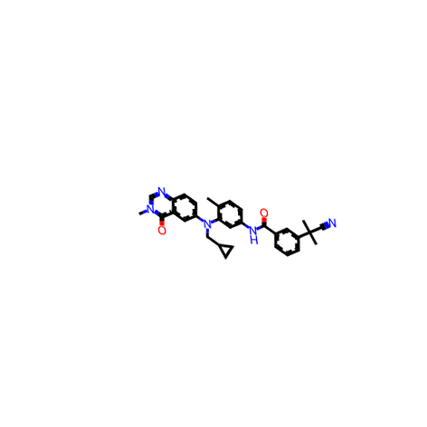 Cc1ccc(NC(=O)c2cccc(C(C)(C)C#N)c2)cc1N(CC1CC1)c1ccc2ncn(C)c(=O)c2c1